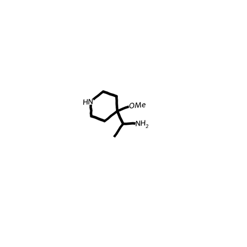 COC1(C(C)N)CCNCC1